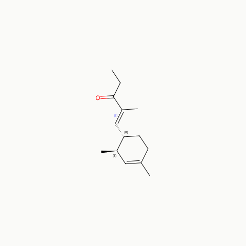 CCC(=O)/C(C)=C/[C@@H]1CCC(C)=C[C@H]1C